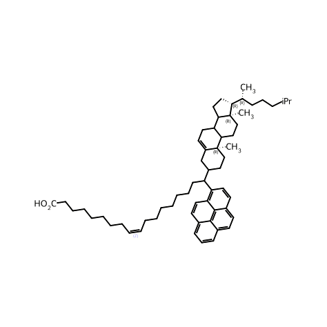 CC(C)CCC[C@@H](C)[C@H]1CCC2C3CC=C4CC(C(CCCCCCC/C=C\CCCCCCCC(=O)O)c5ccc6ccc7cccc8ccc5c6c78)CC[C@]4(C)C3CC[C@@]21C